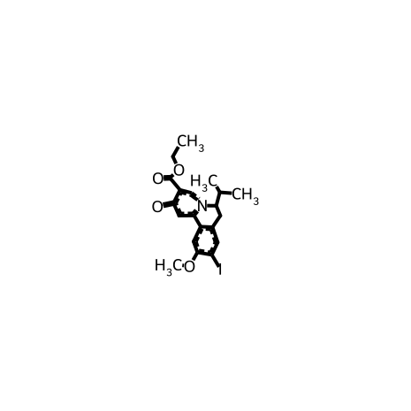 CCOC(=O)c1cn2c(cc1=O)-c1cc(OC)c(I)cc1CC2C(C)C